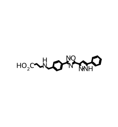 O=C(O)CCNCc1ccc(-c2noc(-c3cc(-c4ccccc4)[nH]n3)n2)cc1